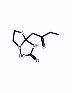 CCC(=O)CC1(NC(=O)O)SCCN1C